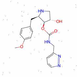 COc1ccc(C[C@H]2NC[C@H](O)[C@H]2OC(=O)NCc2cccnn2)cc1